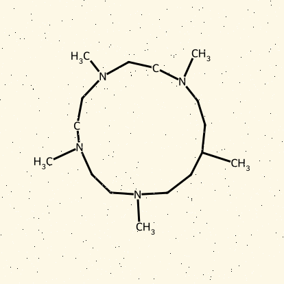 CC1CCN(C)CCN(C)CCN(C)CCN(C)CC1